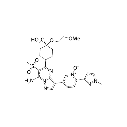 COCCO[C@]1(C(=O)O)CC[C@@H](c2nc3c(-c4ccc(-c5ccn(C)n5)[n+]([O-])c4)cnn3c(N)c2S(C)(=O)=O)CC1